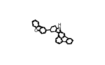 C1=CC(c2ccc3oc4ccccc4c3c2)Cc2c1[nH]c1cc3c4c(cccc4c21)-c1ccccc1-3